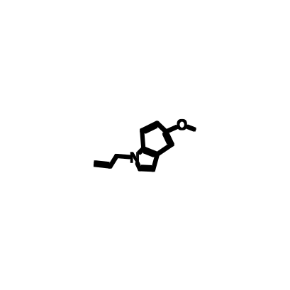 C=CCn1ccc2cc(OC)ccc21